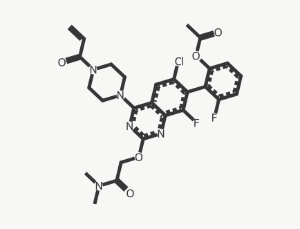 C=CC(=O)N1CCN(c2nc(OCC(=O)N(C)C)nc3c(F)c(-c4c(F)cccc4OC(C)=O)c(Cl)cc23)CC1